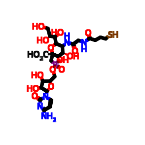 Nc1ccn(C2OC(COP(=O)(O)C[C@@]3(C(=O)O)C[C@@H](O)C(NC(=O)CNC(=O)CCCS)C(C(O)[C@H](O)CO)O3)C(O)C2O)c(=O)n1